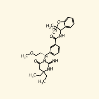 CCC1(CC)CC(=O)N([C@H](CCOC)c2cccc(C(=O)NC3c4ccccc4OC3(C)C)c2)C(=N)N1